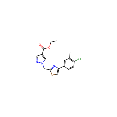 CCOC(=O)c1cnn(Cc2nc(-c3ccc(Cl)c(C)c3)cs2)c1